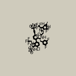 C[C@@H]1[C@@H]2c3c(C(F)(F)F)nn(CC(=O)N[C@@H](Cc4cc(F)cc(F)c4)c4nc(C#CC(C)(C)S(C)(=O)=O)ccc4-c4ccc(Cl)c5c(NS(C)(=O)=O)nn(CC(F)(F)F)c45)c3C(F)(F)[C@H]12